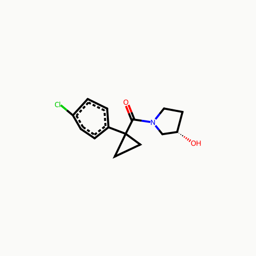 O=C(N1CC[C@H](O)C1)C1(c2ccc(Cl)cc2)CC1